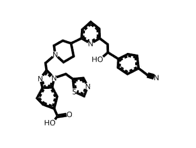 N#Cc1ccc(C(O)Cc2cccc(C3CCN(Cc4nc5ccc(C(=O)O)cc5n4Cc4cncs4)CC3)n2)cc1